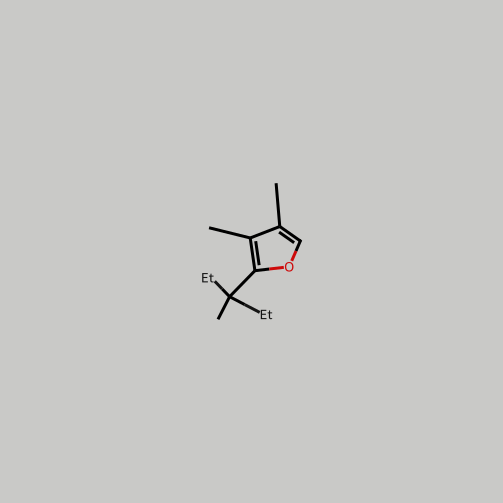 CCC(C)(CC)c1occ(C)c1C